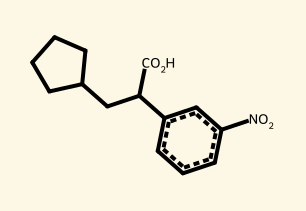 O=C(O)C(CC1CCCC1)c1cccc([N+](=O)[O-])c1